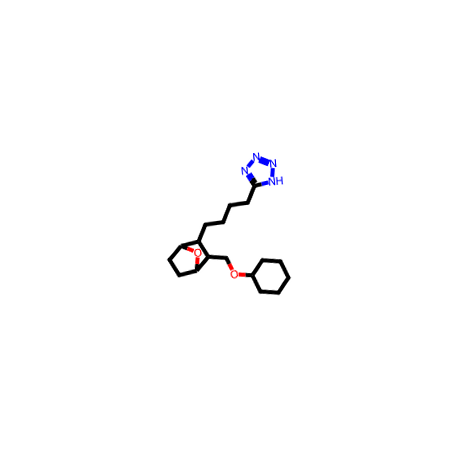 C1CCC(OCC2C3CCC(O3)C2CCCCc2nnn[nH]2)CC1